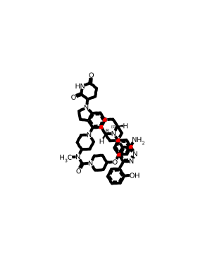 CN(C(=O)N1CCC(Oc2cccc(N3[C@@H]4COC[C@H]3CN(c3cc(-c5ccccc5O)nnc3N)C4)c2)CC1)C1CCN(c2cccc3c2CCN3C2CCC(=O)NC2=O)CC1